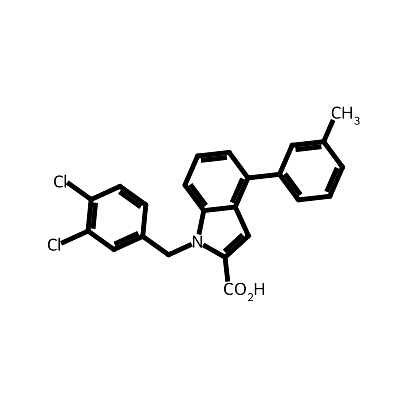 Cc1cccc(-c2cccc3c2cc(C(=O)O)n3Cc2ccc(Cl)c(Cl)c2)c1